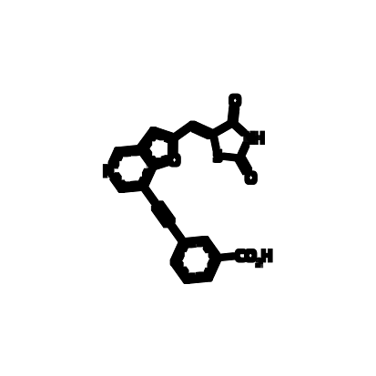 O=C1NC(=O)C(=Cc2cc3cncc(C#Cc4cccc(C(=O)O)c4)c3o2)S1